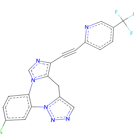 FC(F)(F)c1ccc(C#Cc2ncn3c2Cc2cnnn2-c2cc(Cl)ccc2-3)nc1